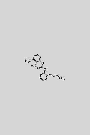 CCCCc1ccccc1OC(=O)Oc1cccc(C)c1C